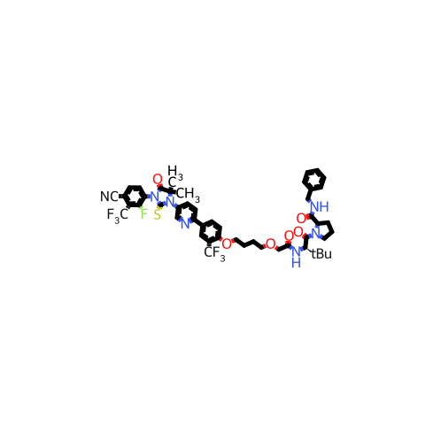 CC(C)(C)[C@H](NC(=O)COCCCCOc1ccc(-c2ccc(N3C(=S)N(c4ccc(C#N)c(C(F)(F)F)c4F)C(=O)C3(C)C)cn2)cc1C(F)(F)F)C(=O)N1CCCC1C(=O)NCc1ccccc1